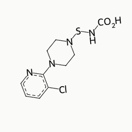 O=C(O)NSN1CCN(c2ncccc2Cl)CC1